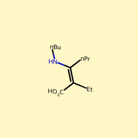 CCCCN/C(CCC)=C(/CC)C(=O)O